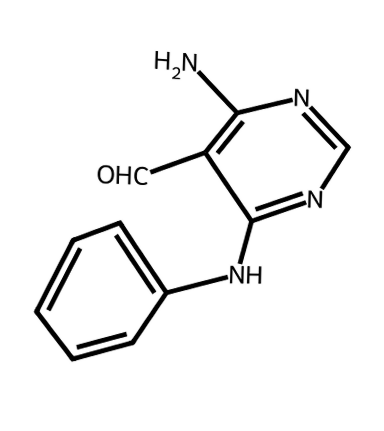 Nc1ncnc(Nc2ccccc2)c1C=O